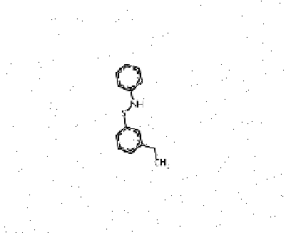 CCc1cccc(SNc2ccccc2)c1